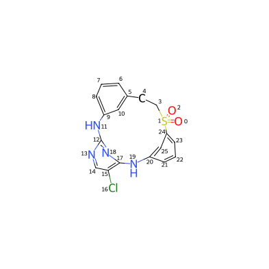 O=S1(=O)CCc2cccc(c2)Nc2ncc(Cl)c(n2)Nc2cccc1c2